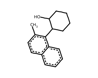 Cc1ccc2ccccc2c1C1CCCCC1O